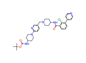 CC(C)(C)OC(=O)NC1CCN(c2ccc(CN3CCC(NC(=O)c4cccc(-c5ccncc5)c4Cl)CC3)cn2)CC1